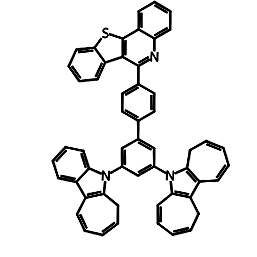 C1=CCc2c3c(n(-c4cc(-c5ccc(-c6nc7ccccc7c7sc8ccccc8c67)cc5)cc(-n5c6c(c7ccccc75)C=CC=CC6)c4)c2C=C1)CC=CC=C3